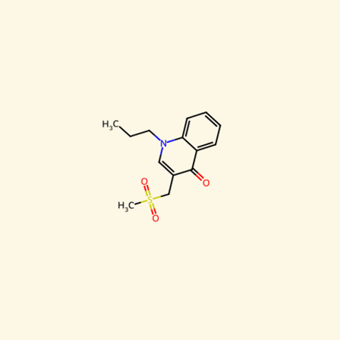 CCCn1cc(CS(C)(=O)=O)c(=O)c2ccccc21